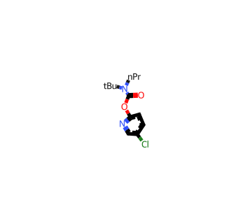 CCCN(C(=O)Oc1ccc(Cl)cn1)C(C)(C)C